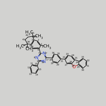 Cc1cc2c(cc1-c1nc(-c3ccccc3)nc(-c3ccc(-c4ccc5c(c4)oc4ccccc45)cc3)n1)C(C)(C)CCC2(C)C